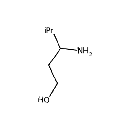 CC(C)C(N)CCO